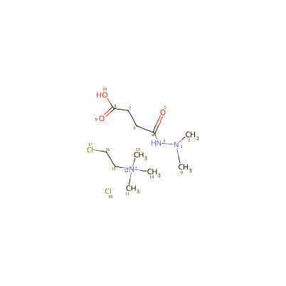 CN(C)NC(=O)CCC(=O)O.C[N+](C)(C)CCCl.[Cl-]